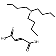 CCCCN(CCCC)CCCC.O=C(O)C=CC(=O)O